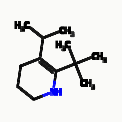 CC(C)C1=C(C(C)(C)C)NCCC1